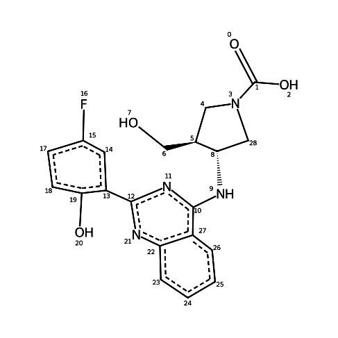 O=C(O)N1C[C@H](CO)[C@@H](Nc2nc(-c3cc(F)ccc3O)nc3ccccc23)C1